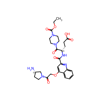 CCOC(=O)N1CCN(C(=O)[C@H](CCC(=O)O)NC(=O)c2cc(OCC(=O)N3CC[C@H](N)C3)c3ccccc3n2)CC1